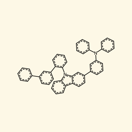 c1ccc(-c2cccc(-c3ccccc3-n3c4ccccc4c4ccc(-c5cccc(N(c6ccccc6)c6ccccc6)c5)cc43)c2)cc1